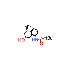 CCCC1CC(O)Cc2c(NC(=O)OC(C)(C)C)cccc21